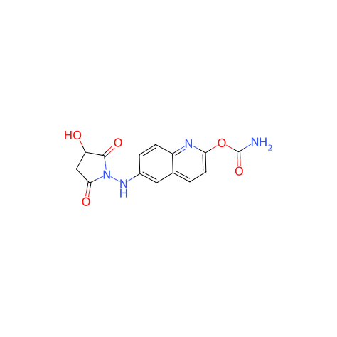 NC(=O)Oc1ccc2cc(NN3C(=O)CC(O)C3=O)ccc2n1